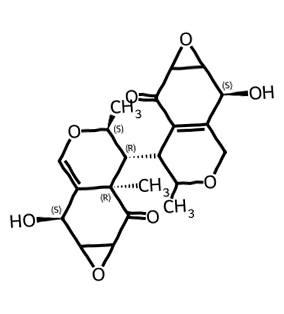 CC1OCC2=C(C(=O)C3OC3[C@H]2O)C1[C@H]1[C@H](C)OC=C2[C@H](O)C3OC3C(=O)[C@@]21C